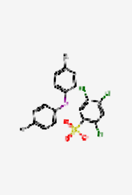 CCc1ccc([I+]c2ccc(CC)cc2)cc1.O=S(=O)([O-])c1cc(Cl)c(Cl)cc1Cl